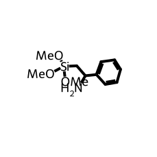 CO[Si](CC(N)c1ccccc1)(OC)OC